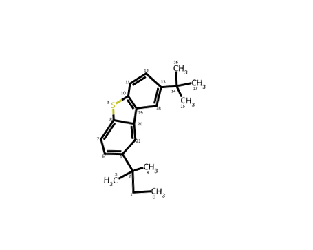 CCC(C)(C)c1ccc2sc3ccc(C(C)(C)C)cc3c2c1